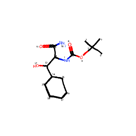 CC(C)(C)OC(=O)NC(C(N)=O)C(O)C1CCCCC1